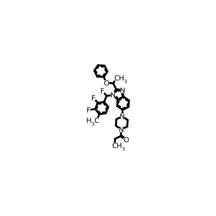 CCC(=O)N1CCN(c2ccc3nc(C(C)Oc4ccccc4)n(C(F)c4ccc(C)c(F)c4F)c3c2)CC1